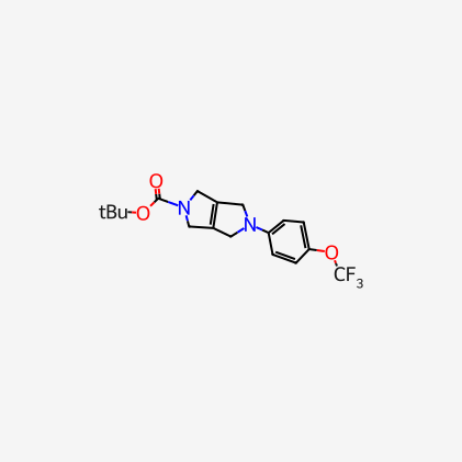 CC(C)(C)OC(=O)N1CC2=C(C1)CN(c1ccc(OC(F)(F)F)cc1)C2